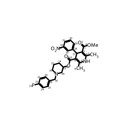 COC(=O)C1=C(C)NC(C)=C(C(=O)OC2CCCN(Cc3ccc(F)cc3)C2)C1c1cccc([N+](=O)[O-])c1